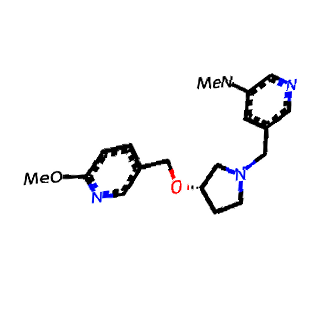 CNc1cncc(CN2CC[C@H](OCc3ccc(OC)nc3)C2)c1